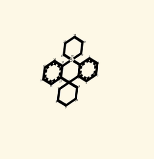 c1ccc2c(c1)C1(CCCCC1)c1ccccc1[Si]21CCCCC1